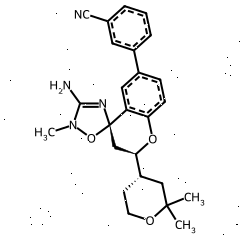 CN1O[C@]2(C[C@H]([C@H]3CCOC(C)(C)C3)Oc3ccc(-c4cccc(C#N)c4)cc32)N=C1N